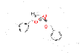 C[C@]1(OCc2ccccc2)O[C@@H]1OCc1ccccc1